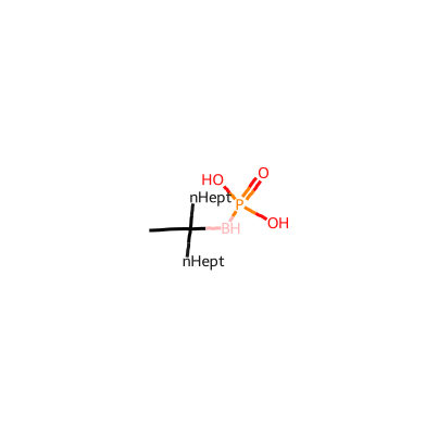 CCCCCCCC(C)(BP(=O)(O)O)CCCCCCC